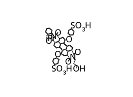 CC(C)c1ccccc1N1C(=O)c2ccc3c4c(Oc5ccc(S(=O)(=O)O)cc5)cc5c6c(ccc(c7c(Oc8ccc(S(=O)(=O)O)cc8)cc(c2c37)C1=O)c64)C(=O)N(CCCO)C5=O